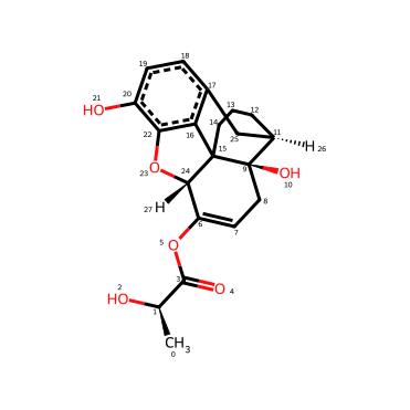 C[C@@H](O)C(=O)OC1=CC[C@@]2(O)[C@@H]3CCCC24c2c(ccc(O)c2O[C@@H]14)C3